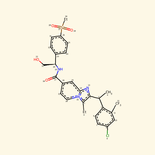 CCc1c(C(C)c2ccc(Cl)cc2C(F)(F)F)nc2cc(C(=O)N[C@@H](CO)c3ccc(S(=O)(=O)CC)cc3)ccn12